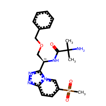 CC(C)(N)C(=O)N[C@H](COCc1ccccc1)c1nnc2ccc(S(C)(=O)=O)cn12